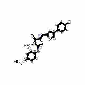 CN1C(=O)/C(=C/c2cc(-c3ccc(Cl)cc3)cs2)S/C1=N/c1ccc(C(=O)O)cc1